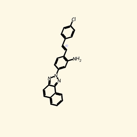 Nc1cc(-n2nc3ccc4ccccc4c3n2)ccc1/C=C/c1ccc(Cl)cc1